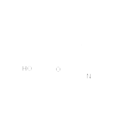 C1CN2CCC1CC2.O=CO